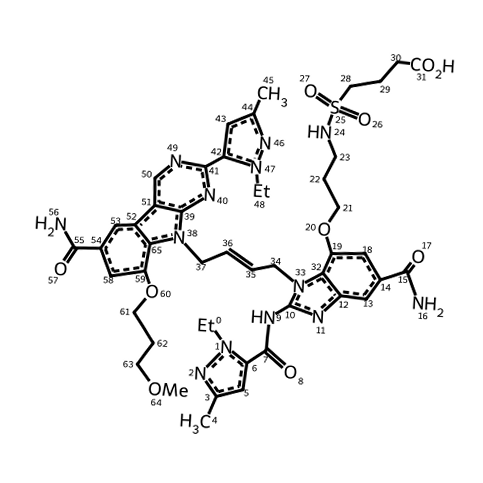 CCn1nc(C)cc1C(=O)Nc1nc2cc(C(N)=O)cc(OCCCNS(=O)(=O)CCCC(=O)O)c2n1CC=CCn1c2nc(-c3cc(C)nn3CC)ncc2c2cc(C(N)=O)cc(OCCCOC)c21